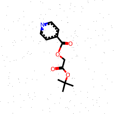 CC(C)(C)OC(=O)COC(=O)c1ccncc1